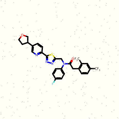 O=C(Cc1ccc(C(F)(F)F)cc1C(F)(F)F)N(Cc1nnc(-c2ccc(C3CCOC3)cn2)s1)c1ccc(F)cc1